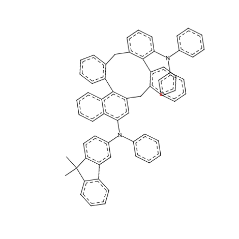 CC1(C)c2ccccc2-c2cc(N(c3ccccc3)c3cc4c(c5ccccc35)-c3ccccc3Cc3cccc(N(c5ccccc5)c5ccccc5)c3-c3ccccc3C4)ccc21